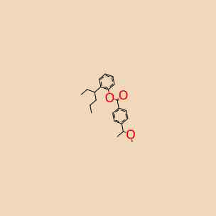 CCCC(CC)c1ccccc1OC(=O)c1ccc(C(C)OC)cc1